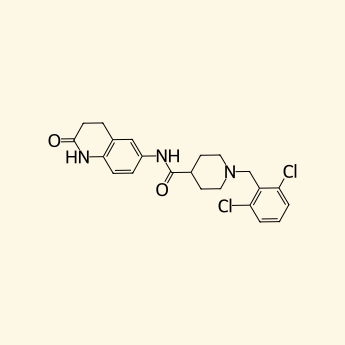 O=C1CCc2cc(NC(=O)C3CCN(Cc4c(Cl)cccc4Cl)CC3)ccc2N1